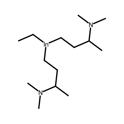 C[CH2][In]([CH2]CC(C)N(C)C)[CH2]CC(C)N(C)C